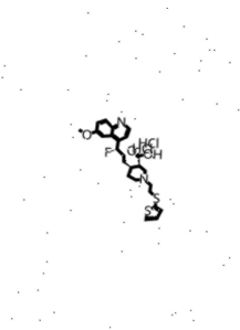 COc1ccc2nccc([C@@H](F)CC[C@@H]3CCN(CCSc4cccs4)C[C@@H]3C(=O)O)c2c1.Cl.Cl